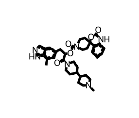 Cc1cc(CC(OC(=O)N2CCC3(CC2)OC(=O)Nc2ccccc23)C(=O)N2CCC(C3CCN(C)CC3)CC2)cc2cn[nH]c12